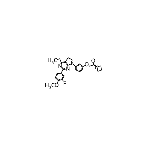 CCc1nc(-c2ccc(OC)c(F)c2)nc2c1CCN2c1cccc(OCC(=O)N2CCC2)c1